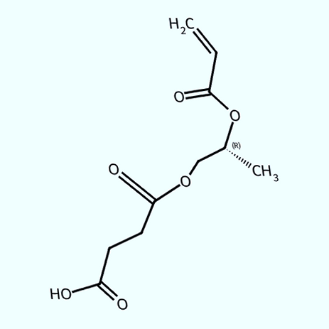 C=CC(=O)O[C@H](C)COC(=O)CCC(=O)O